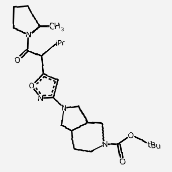 CC(C)C(C(=O)N1CCCC1C)c1cc(N2CC3CCN(C(=O)OC(C)(C)C)CC3C2)no1